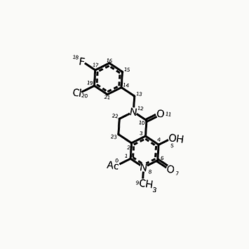 CC(=O)c1c2c(c(O)c(=O)n1C)C(=O)N(Cc1ccc(F)c(Cl)c1)CC2